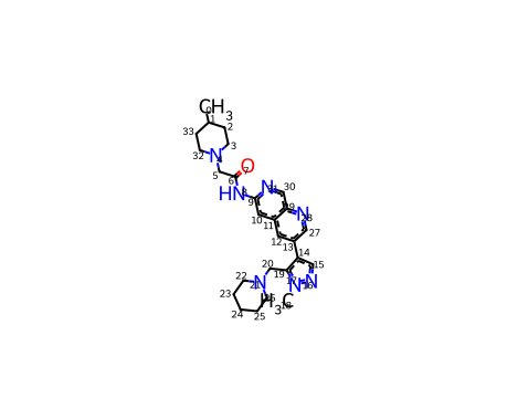 CC1CCN(CC(=O)Nc2cc3cc(-c4cnn(C)c4CN4CCCCC4)cnc3cn2)CC1